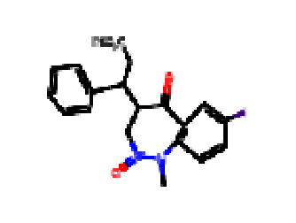 CCOC(=O)CC(c1ccccc1)C1C[N+](=O)N(C)c2ccc(I)cc2C1=O